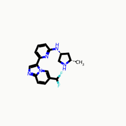 C[C@H]1C[C@@H](Nc2cccc(-c3cnc4ccc(C(F)F)cn34)n2)CN1